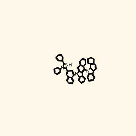 C1=CCC2C(=C1)C=c1c(c3ccccc3n1-c1cc(C3NC(c4ccccc4)N3c3ccccc3)cc3ccccc13)=C2N1c2ccccc2C2C=CC3=C(C=CCC3)C21